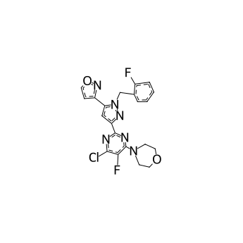 Fc1ccccc1Cn1nc(-c2nc(Cl)c(F)c(N3CCOCC3)n2)cc1-c1ccon1